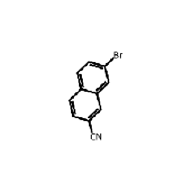 N#Cc1ccc2ccc(Br)cc2c1